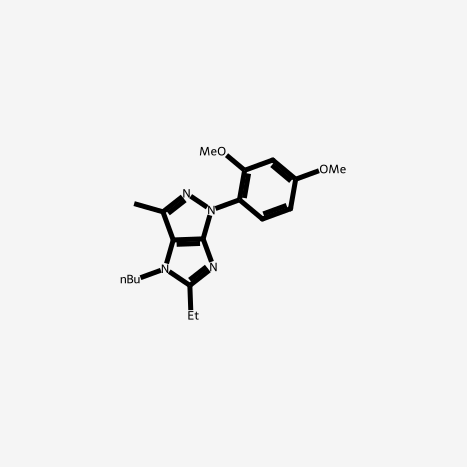 CCCCn1c(CC)nc2c1c(C)nn2-c1ccc(OC)cc1OC